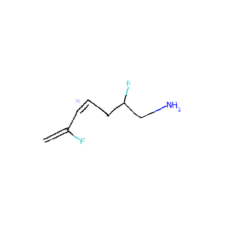 C=C(F)/C=C\CC(F)CN